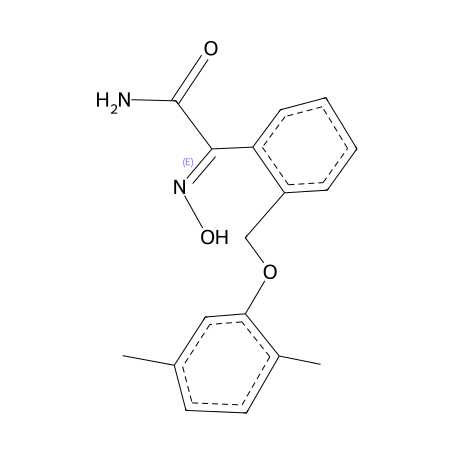 Cc1ccc(C)c(OCc2ccccc2/C(=N\O)C(N)=O)c1